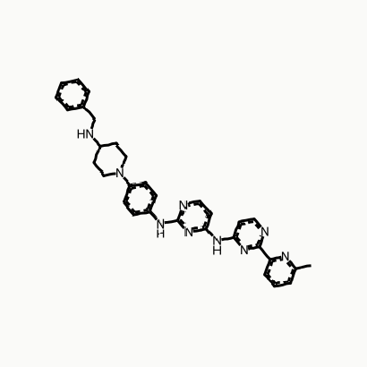 Cc1cccc(-c2nccc(Nc3ccnc(Nc4ccc(N5CCC(NCc6ccccc6)CC5)cc4)n3)n2)n1